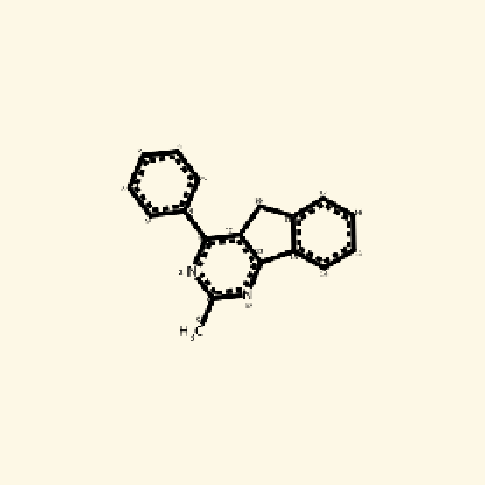 Cc1nc(-c2ccccc2)c2c(n1)-c1ccccc1C2